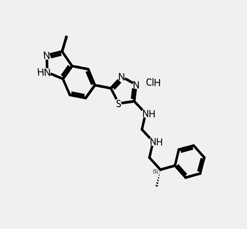 Cc1n[nH]c2ccc(-c3nnc(NCNC[C@@H](C)c4ccccc4)s3)cc12.Cl